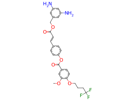 COc1cc(C(=O)Oc2ccc(/C=C/C(=O)OCc3cc(N)cc(N)c3)cc2)ccc1OCCCC(F)(F)F